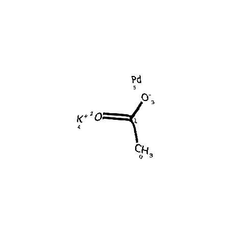 CC(=O)[O-].[K+].[Pd]